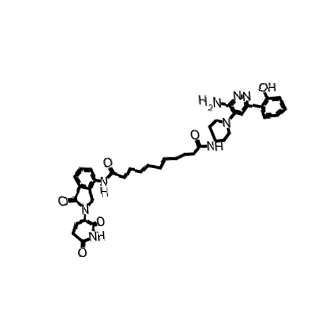 Nc1nnc(-c2ccccc2O)cc1N1CCC(NC(=O)CCCCCCCCCC(=O)Nc2cccc3c2CN(C2CCC(=O)NC2=O)C3=O)CC1